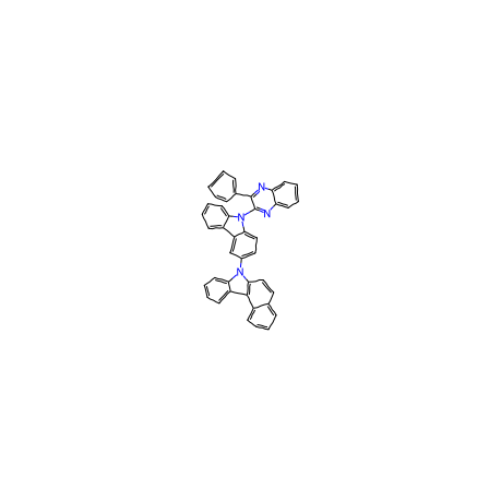 c1ccc(-c2nc3ccccc3nc2-n2c3ccccc3c3cc(-n4c5ccccc5c5c6ccccc6ccc54)ccc32)cc1